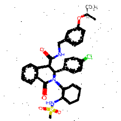 C[C@H](Oc1cccc(CNC(=O)C2c3ccccc3C(=O)N(C3CCCCC3NS(C)(=O)=O)C2c2ccc(Cl)cc2)c1)C(=O)O